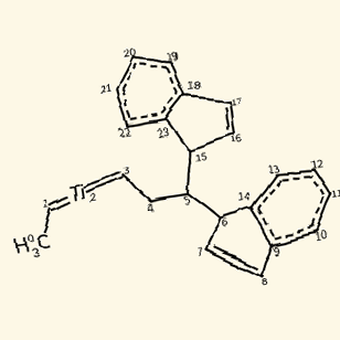 C[CH]=[Ti]=[CH]CC(C1C=Cc2ccccc21)C1C=Cc2ccccc21